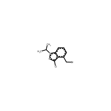 CC(C)n1nc(Cl)c2c(CBr)cccc21